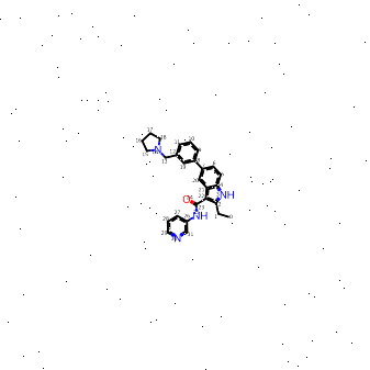 CCc1[nH]c2ccc(-c3cccc(CN4CCCC4)c3)cc2c1C(=O)Nc1cccnc1